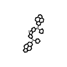 c1ccc(N(c2cc3ccc4cccc5ccc(c2)c3c45)c2ccc3sc4ccc(N(c5ccccc5)c5cc6ccc7cccc8ccc(c5)c6c78)cc4c3c2)cc1